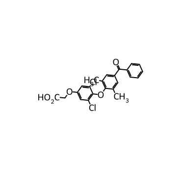 Cc1cc(C(=O)c2ccccc2)cc(C)c1Oc1c(Cl)cc(OCC(=O)O)cc1Cl